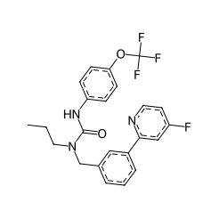 CCCN(Cc1cccc(-c2cc(F)ccn2)c1)C(=O)Nc1ccc(OC(F)(F)F)cc1